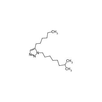 CCCCCCc1cnnn1CCCCCCC(C)C